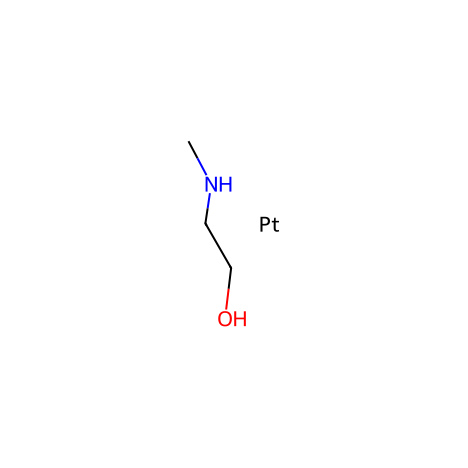 CNCCO.[Pt]